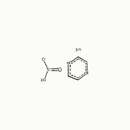 O=[N+]([O-])O.[Sm].c1cnccn1